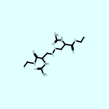 CCOC(=O)C(CSSCC(NC(N)=O)C(=O)OCC)NC(N)=O